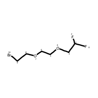 FC(F)COCCOCCBr